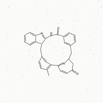 Cc1ccc2cc1C1=NC(CC(=O)C=C1)Cc1cccc(c1)C(=O)NC1=Nc3ccccc3C1C2